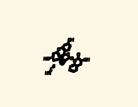 N=C=S.O=C1OC2(c3ccc(O)cc3Oc3cc(O)ccc32)c2ccccc21.O=c1oc2ccccc2cc1O